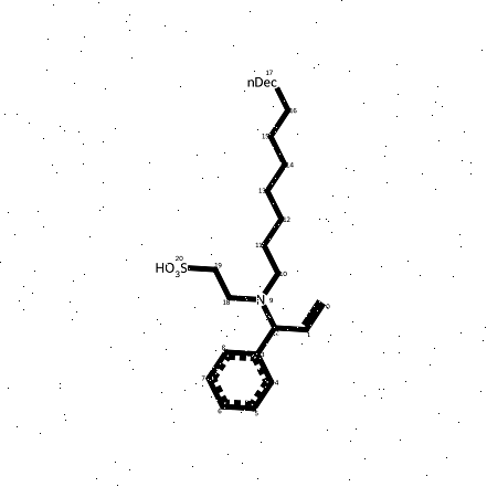 C=CC(c1ccccc1)N(CCCCCCCCCCCCCCCCC)CCS(=O)(=O)O